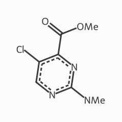 CNc1ncc(Cl)c(C(=O)OC)n1